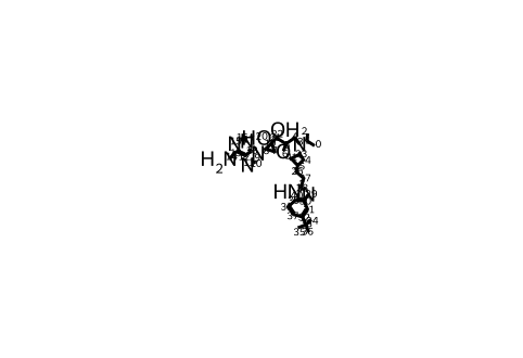 CC(C)N(CC1OC2C(n3cnc4c(N)ncnc43)[C@@]2(O)[C@@H]1O)C1CC(CCc2nc3cc(C(C)(C)C)ccc3[nH]2)C1